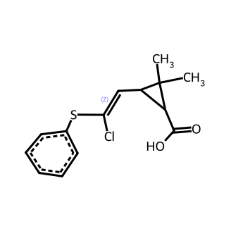 CC1(C)C(/C=C(\Cl)Sc2ccccc2)C1C(=O)O